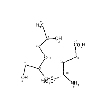 CC(O)COC(C)CO.N[C@@H](CCC(=O)O)C(=O)O